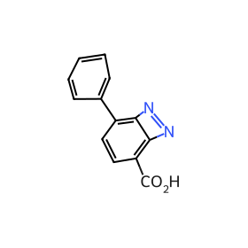 O=C(O)c1ccc(-c2ccccc2)c2c1N=N2